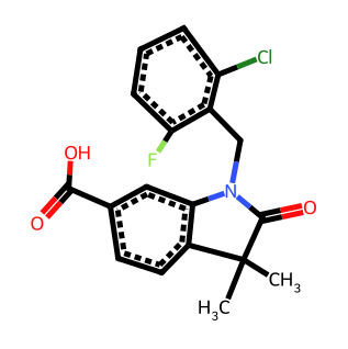 CC1(C)C(=O)N(Cc2c(F)cccc2Cl)c2cc(C(=O)O)ccc21